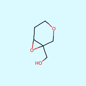 OCC12COCCC1O2